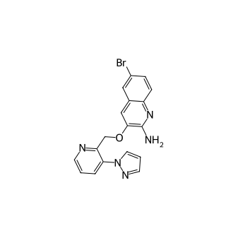 Nc1nc2ccc(Br)cc2cc1OCc1ncccc1-n1cccn1